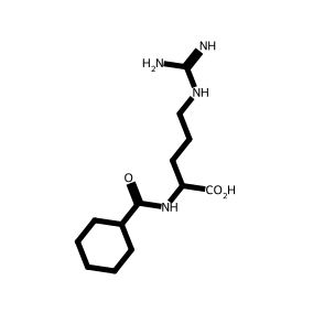 N=C(N)NCCCC(NC(=O)C1CCCCC1)C(=O)O